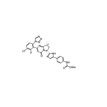 COC(=O)Nc1ccc(-c2cnc([C@H]3C[C@@H](C)c4nc(-c5c(-n6cnnn6)ccc(Cl)c5F)cc(=O)n43)[nH]2)cc1